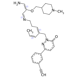 C#Cc1cccc(-c2ccc(=O)n(CC(/C=C\C)=C/CC/N=C\C(=C/N)OCC3CCN(C)CC3)n2)c1